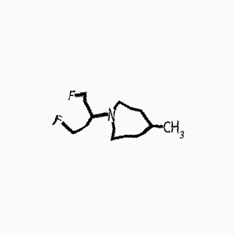 CC1CCN(C(CF)CF)CC1